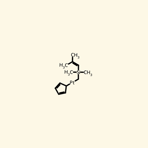 CC(C)=C[Si](C)(C)[CH2][Pt][CH]1C=CC=C1